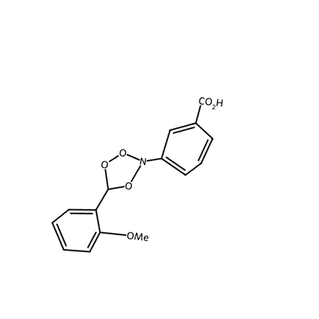 COc1ccccc1C1OON(c2cccc(C(=O)O)c2)O1